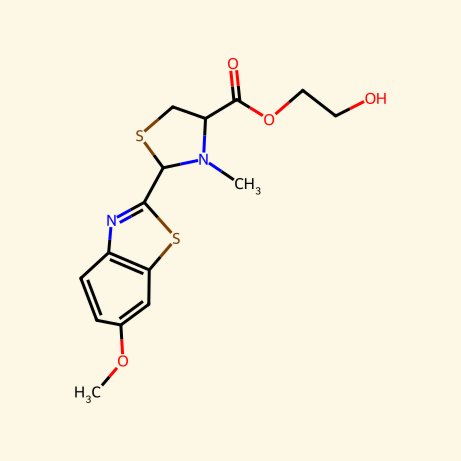 COc1ccc2nc(C3SCC(C(=O)OCCO)N3C)sc2c1